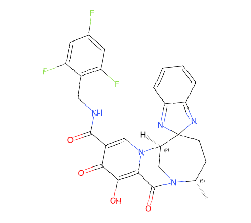 C[C@H]1CCC2(N=c3ccccc3=N2)[C@H]2CN1C(=O)c1c(O)c(=O)c(C(=O)NCc3c(F)cc(F)cc3F)cn12